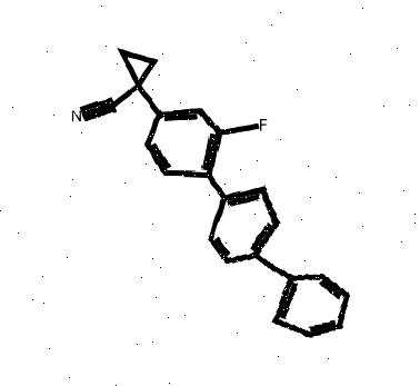 N#CC1(c2ccc(-c3ccc(-c4ccccc4)cc3)c(F)c2)CC1